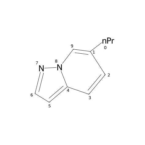 CCCc1ccc2ccnn2c1